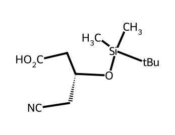 CC(C)(C)[Si](C)(C)O[C@H](CC#N)CC(=O)O